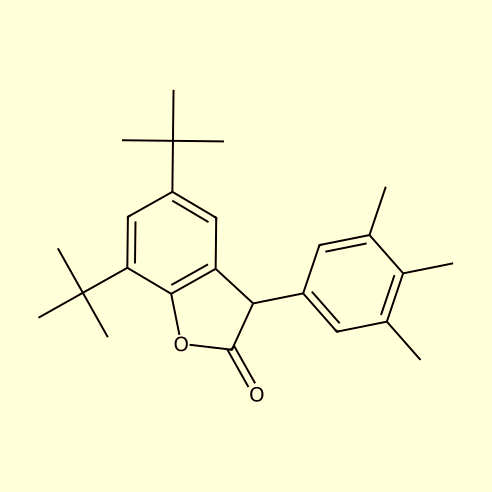 Cc1cc(C2C(=O)Oc3c2cc(C(C)(C)C)cc3C(C)(C)C)cc(C)c1C